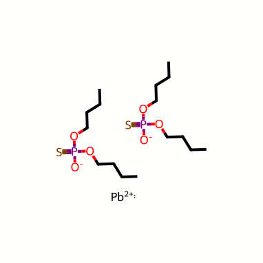 CCCCOP([O-])(=S)OCCCC.CCCCOP([O-])(=S)OCCCC.[Pb+2]